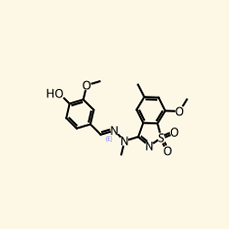 COc1cc(/C=N/N(C)C2=NS(=O)(=O)c3c(OC)cc(C)cc32)ccc1O